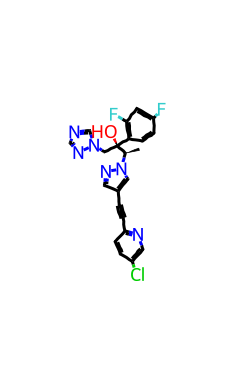 C[C@@H](n1cc(C#Cc2ccc(Cl)cn2)cn1)[C@](O)(Cn1cncn1)c1ccc(F)cc1F